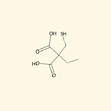 CCC(CS)(C(=O)O)C(=O)O